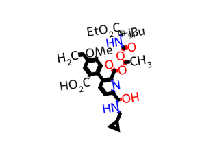 C=Cc1cc(C(=O)O)c(-c2ccc(C(O)NCC3CC3)nc2C(=O)OC(C)OC(=O)N[C@H](C(=O)OCC)[C@@H](C)CC)cc1OC